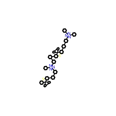 c1ccc(-c2nc(-c3ccccc3)nc(-c3ccc(-c4ccc(-c5ccc6c(c5)C5(c7cc(-c8ccccc8-c8cccc(-c9nc(-c%10ccccc%10)nc(-c%10cccc(-c%11cccc(-c%12ccc%13c(c%12)C%12(c%14ccccc%14S%13)c%13ccccc%13-c%13ccccc%13%12)c%11)c%10)n9)c8)ccc7S6)c6ccccc6-c6ccccc65)cc4)cc3)n2)cc1